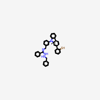 C[C@]12C=C(c3ccccc3S)C=CC1c1ccccc1N2c1cccc(C/N=C(\NNCc2ccccc2)c2ccccc2)c1